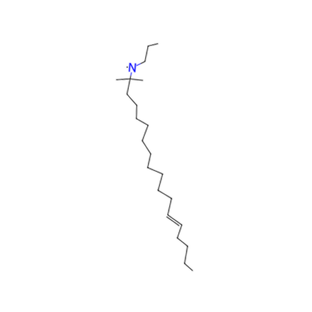 CCCCC=CCCCCCCCCCCC(C)(C)[N]CCC